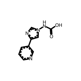 O=C(O)Nn1cnc(-c2cccnc2)c1